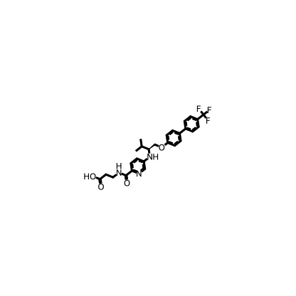 CC(C)[C@@H](COc1ccc(-c2ccc(C(F)(F)F)cc2)cc1)Nc1ccc(C(=O)NCCC(=O)O)nc1